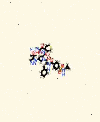 CC(C)(O)c1cnnn1[C@H]1C[C@@H](C(=O)NC2(C(=O)C(N)=O)CCSCC2)N(C(=O)[C@@H](CC2CCCCC2)NC(=O)c2ccc(S(=O)(=O)NC3CC3)cc2)C1